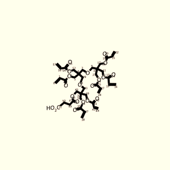 C=CC(=O)OCC(COCC(COC(=O)C=C)(COC(=O)C=C)COC(=O)C=C)(COCC(COC(=O)C=C)(COC(=O)C=C)COC(=O)CCC(=O)O)COC(=O)C=C